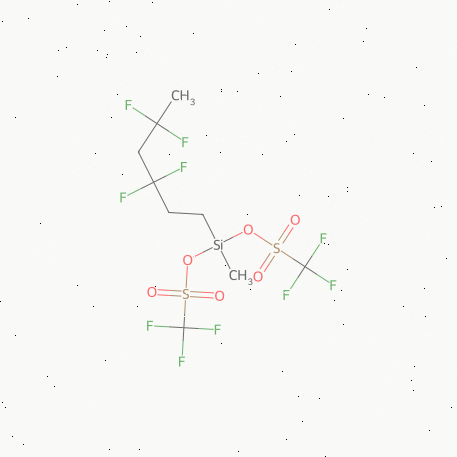 CC(F)(F)CC(F)(F)CC[Si](C)(OS(=O)(=O)C(F)(F)F)OS(=O)(=O)C(F)(F)F